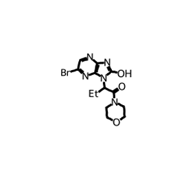 CCC(C(=O)N1CCOCC1)n1c(O)nc2ncc(Br)nc21